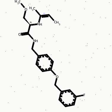 C/C=C(/C)N[C@H](COC)C(=O)NCc1ccc(OCc2cccc(F)c2)cc1